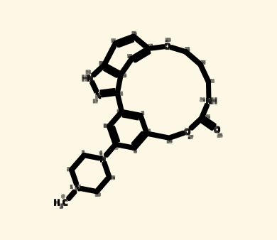 CN1CCN(c2cc3cc(c2)-c2n[nH]c4ccc(cc24)OCCCNC(=O)OC3)CC1